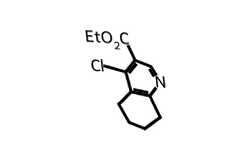 CCOC(=O)c1cnc2c(c1Cl)CCCC2